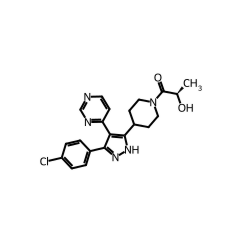 C[C@@H](O)C(=O)N1CCC(c2[nH]nc(-c3ccc(Cl)cc3)c2-c2ccncn2)CC1